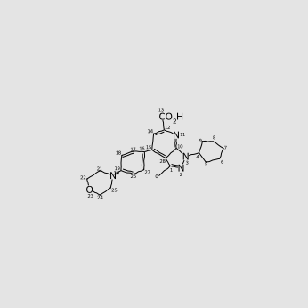 Cc1nn(C2CCCCC2)c2nc(C(=O)O)cc(-c3ccc(N4CCOCC4)cc3)c12